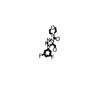 O=CC1N(C(=O)N2CCOCC2)N=NN1c1cc(F)cc(F)c1